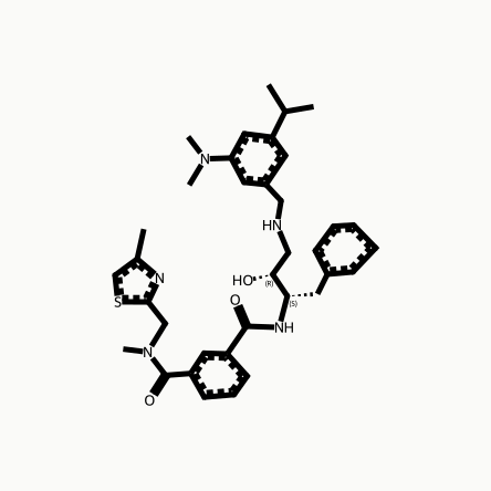 Cc1csc(CN(C)C(=O)c2cccc(C(=O)N[C@@H](Cc3ccccc3)[C@H](O)CNCc3cc(C(C)C)cc(N(C)C)c3)c2)n1